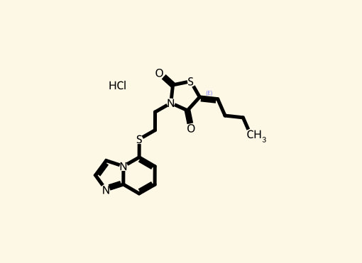 CCC/C=C1/SC(=O)N(CCSc2cccc3nccn23)C1=O.Cl